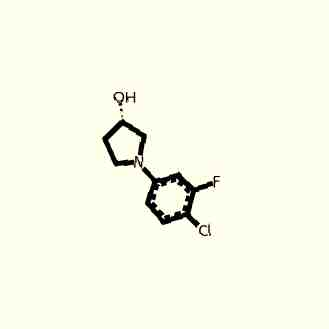 O[C@H]1CCN(c2ccc(Cl)c(F)c2)C1